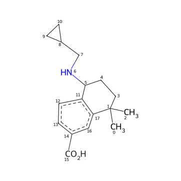 CC1(C)CCC(NCC2CC2)c2ccc(C(=O)O)cc21